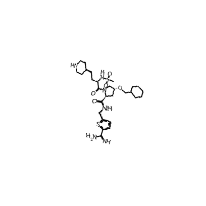 CS(=O)(=O)N[C@H](CCC1CCNCC1)C(=O)N1C[C@H](OCC2CCCCC2)C[C@H]1C(=O)NCc1ccc(C(=N)N)s1